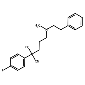 CC(C)C(C#N)(CCCN(C)CCc1ccccc1)c1ccc(F)cc1